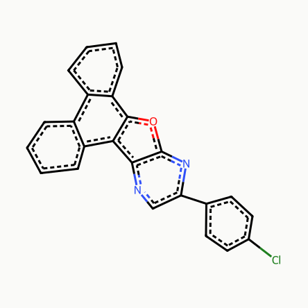 Clc1ccc(-c2cnc3c(n2)oc2c4ccccc4c4ccccc4c32)cc1